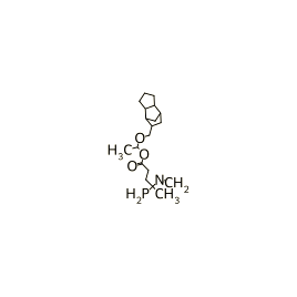 C=NC(C)(P)CCC(=O)OC(C)OCC1CC2CC1C1CCCC21